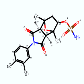 CC12C[C@@H](OS(N)(=O)=O)C(C)(O1)[C@H]1C(=O)N(c3ccc(C#N)c(C(F)(F)F)c3)C(=O)[C@H]12